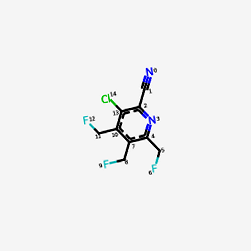 N#Cc1nc(CF)c(CF)c(CF)c1Cl